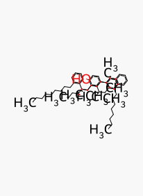 CCCCCCCCCc1ccccc1C(C)C(C)c1ccc(O)c(C(C)C(C)c2ccccc2CCCCCCCCC)c1C(C)C(C)c1ccccc1CCCCCCCCC